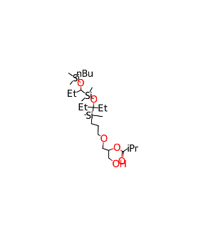 CCCC[Si](C)(C)OC(CC)[Si](C)(C)OC(CC)(CC)[Si](C)(C)CCCOCC(CO)OC(=O)C(C)C